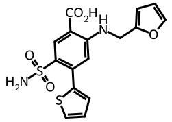 NS(=O)(=O)c1cc(C(=O)O)c(NCc2ccco2)cc1-c1cccs1